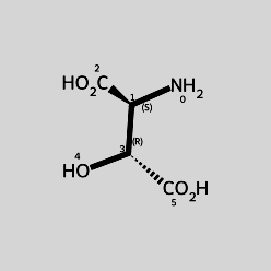 N[C@H](C(=O)O)[C@@H](O)C(=O)O